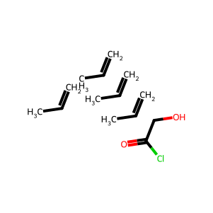 C=CC.C=CC.C=CC.C=CC.O=C(Cl)CO